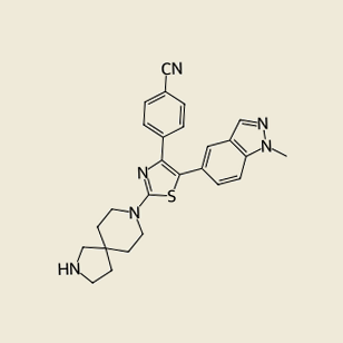 Cn1ncc2cc(-c3sc(N4CCC5(CCNC5)CC4)nc3-c3ccc(C#N)cc3)ccc21